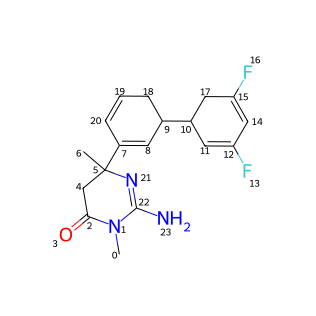 CN1C(=O)CC(C)(C2=CC(C3C=C(F)C=C(F)C3)CC=C2)N=C1N